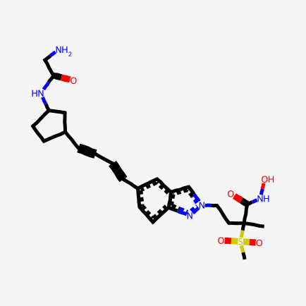 CC(CCn1cc2cc(C#CC#CC3CCC(NC(=O)CN)C3)ccc2n1)(C(=O)NO)S(C)(=O)=O